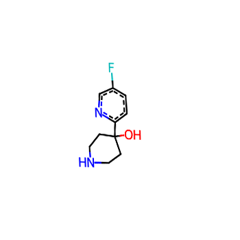 OC1(c2ccc(F)cn2)CCNCC1